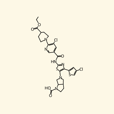 CCOC(=O)C1CCN(c2ncc(C(=O)Nc3nc(-c4cc(Cl)cs4)c(N4CC5CCN(C(=O)O)C5C4)s3)cc2Cl)CC1